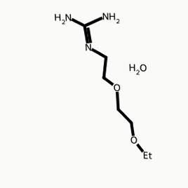 CCOCCOCCN=C(N)N.O